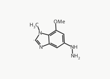 COc1cc(NN)cc2n[c]n(C)c12